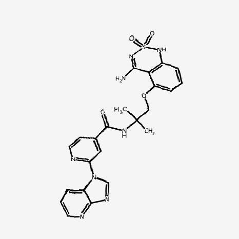 CC(C)(COc1cccc2c1C(N)=NS(=O)(=O)N2)NC(=O)c1ccnc(-n2cnc3ncccc32)c1